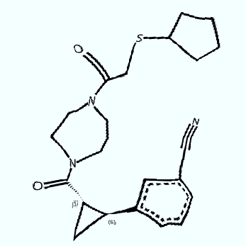 N#Cc1cccc([C@H]2C[C@@H]2C(=O)N2CCN(C(=O)CSC3CCCC3)CC2)c1